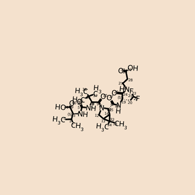 CC(C)[C@H](NC(=O)N[C@H](C(=O)N1CC2C([C@H]1C(=O)N[C@@H](CC(F)F)C(=O)NCCC(=O)O)C2(C)C)C(C)(C)C)C(=O)O